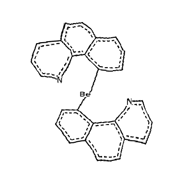 [Be]([c]1cccc2ccc3cccnc3c12)[c]1cccc2ccc3cccnc3c12